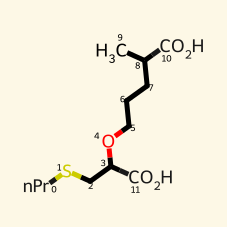 CCCSCC(OCCCC(C)C(=O)O)C(=O)O